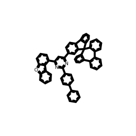 c1ccc(-c2ccc(-c3nc(-c4ccc5c(c4)C4(c6ccccc6-c6ccccc6-c6ccccc64)c4ccccc4-5)cc(-c4cccc5oc6ccccc6c45)n3)cc2)cc1